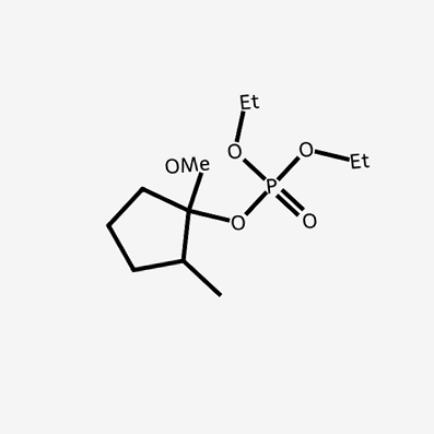 CCOP(=O)(OCC)OC1(OC)CCCC1C